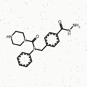 NNC(=O)c1ccc(CN(C(=O)N2CCNCC2)c2ccccc2)cc1